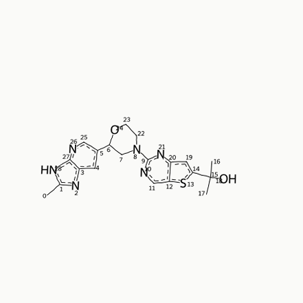 Cc1nc2cc(C3CN(c4ncc5sc(C(C)(C)O)cc5n4)CCO3)cnc2[nH]1